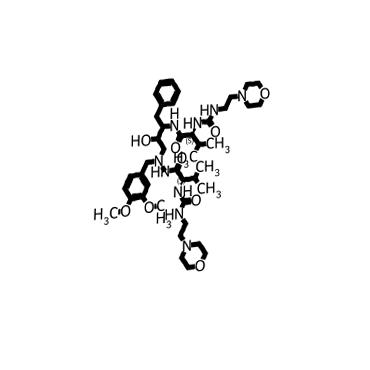 COc1ccc(CN(CC(O)C(Cc2ccccc2)NC(=O)[C@@H](NC(=O)NCCN2CCOCC2)C(C)C)NC(=O)[C@@H](NC(=O)NCCN2CCOCC2)C(C)C)cc1OC